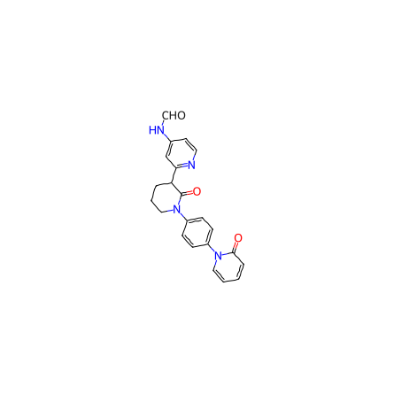 O=CNc1ccnc(C2CCCN(c3ccc(-n4ccccc4=O)cc3)C2=O)c1